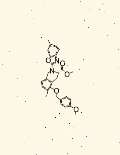 COC(=O)[C@@H]1Cc2c(ccc(C)c2OCc2ccc(OC)cc2)CN1c1nc2ccc(C)cc2o1